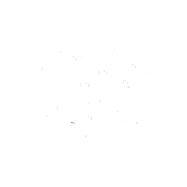 Cc1cc(C(=O)NC(CC(=O)N2CCC[C@H]2c2ccccc2)C(=O)NC(C)c2ncc(Cc3ccccc3)[nH]2)no1